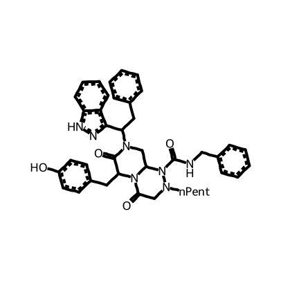 CCCCCN1CC(=O)N2C(Cc3ccc(O)cc3)C(=O)N(C(Cc3ccccc3)c3n[nH]c4ccccc34)CC2N1C(=O)NCc1ccccc1